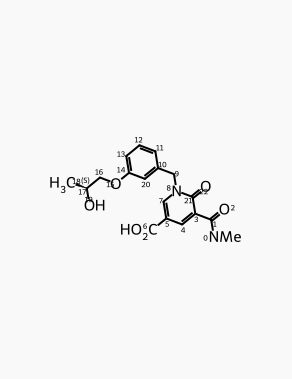 CNC(=O)c1cc(C(=O)O)cn(Cc2cccc(OC[C@H](C)O)c2)c1=O